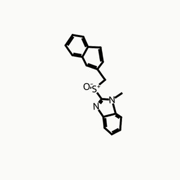 Cn1c([S@@+]([O-])Cc2ccc3ccccc3c2)nc2ccccc21